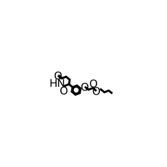 CCCCOC(=O)COc1cccc(C2CCC(=O)NC2=O)c1